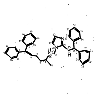 CC(CCC=C(c1ccccc1)c1ccccc1)[SiH2]Cn1ccnc1BC(c1ccccc1)c1ccccc1